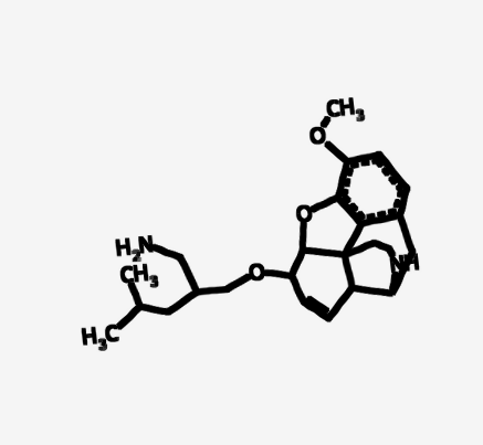 COc1ccc2c3c1OC1C(OCC(CN)CC(C)C)C=CC4C(C2)NCCC341